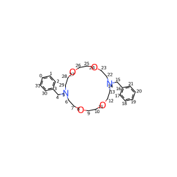 c1ccc(CN2CCOCCOCCN(Cc3ccccc3)CCOCCOCC2)cc1